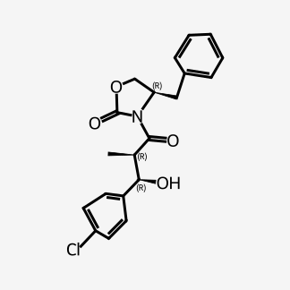 C[C@@H](C(=O)N1C(=O)OC[C@H]1Cc1ccccc1)[C@@H](O)c1ccc(Cl)cc1